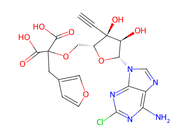 C#C[C@@]1(O)[C@@H](COC(Cc2ccoc2)(C(=O)O)C(=O)O)O[C@@H](n2cnc3c(N)nc(Cl)nc32)[C@@H]1O